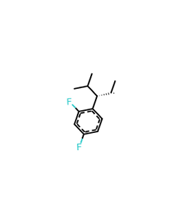 C[CH][C@H](c1ccc(F)cc1F)C(C)C